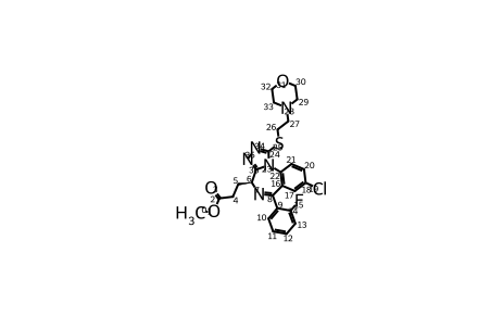 COC(=O)CC[C@@H]1N=C(c2ccccc2F)c2cc(Cl)ccc2-n2c(SCCN3CCOCC3)nnc21